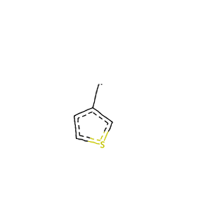 [CH2]c1ccsc1